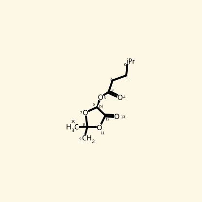 CC(C)CCC(=O)O[C@@H]1OC(C)(C)OC1=O